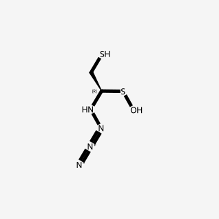 [N-]=[N+]=NN[C@@H](CS)SO